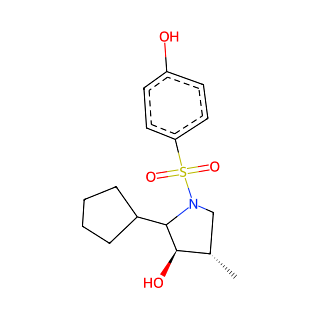 C[C@H]1CN(S(=O)(=O)c2ccc(O)cc2)C(C2CCCC2)[C@@H]1O